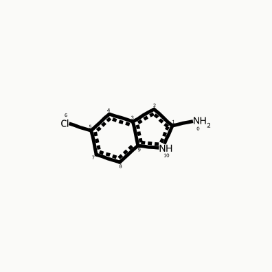 Nc1cc2cc(Cl)ccc2[nH]1